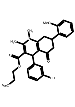 COCCOC(=O)C1=C(C)N(C)C2=C(C(=O)CC(c3ccccc3OC)C2)C1c1cccc(O)c1